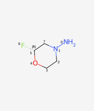 NN1CCO[C@H](F)C1